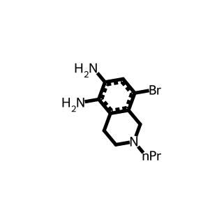 CCCN1CCc2c(N)c(N)cc(Br)c2C1